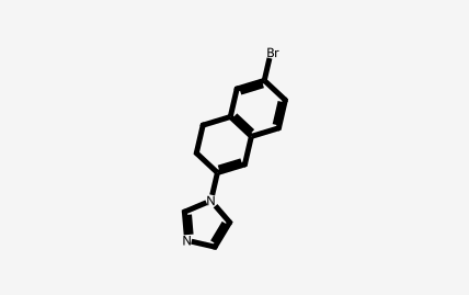 Brc1ccc2c(c1)CCC(n1ccnc1)=C2